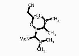 CNC(N(C)C)P(OCCC#N)C(C)N(C)C